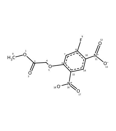 COC(=O)COc1cc(F)c([N+](=O)[O-])cc1[N+](=O)[O-]